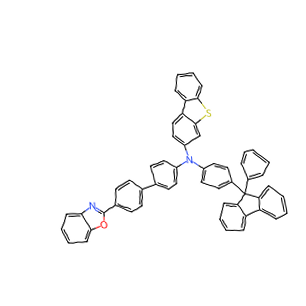 c1ccc(C2(c3ccc(N(c4ccc(-c5ccc(-c6nc7ccccc7o6)cc5)cc4)c4ccc5c(c4)sc4ccccc45)cc3)c3ccccc3-c3ccccc32)cc1